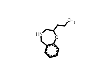 CCCC1CNCc2ccccc2O1